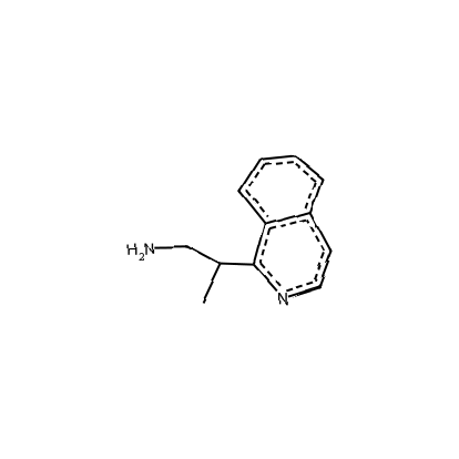 CC(CN)c1nccc2ccccc12